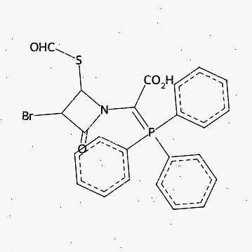 O=CSC1C(Br)C(=O)N1C(C(=O)O)=P(c1ccccc1)(c1ccccc1)c1ccccc1